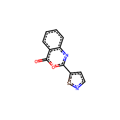 O=c1oc(-c2ccns2)nc2ccccc12